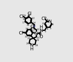 O=C(NCc1ccnc(Cl)c1)[N+]1(C/C=C/c2ccc(Cl)c(Cl)c2)CC2(CCNCC2)c2cc(Cl)cc(Cl)c21